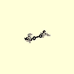 CC(C)(C)OC(=O)N1CC2(CC2)[C@@H](O)[C@H]1c1nc(-c2ccc(C#Cc3ccc4[nH]c([C@@H]5CCCN5C(=O)OC(C)(C)C)nc4c3)cc2)c[nH]1